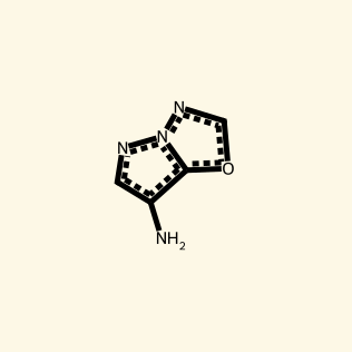 Nc1cnn2ncoc12